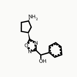 N[C@H]1CC[C@H](c2nc(C(O)c3ccccc3)no2)C1